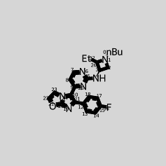 CCCCN1C[C@H](Nc2nccc(-c3c(-c4ccc(F)cc4)nc4occn34)n2)C1CC